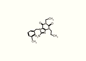 CCCn1c(=O)n(CC)c(=O)c2c1nc(N)n2Cc1cccc(C)c1